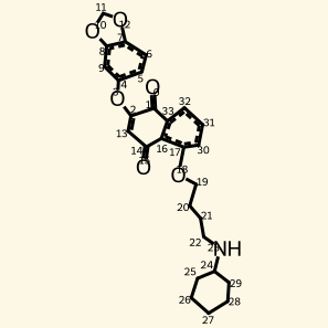 O=C1C(Oc2ccc3c(c2)OCO3)=CC(=O)c2c(OCCCCNC3CCCCC3)cccc21